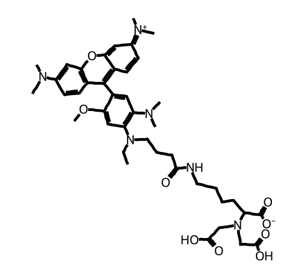 CCN(CCCC(=O)NCCCCC(C(=O)[O-])N(CC(=O)O)CC(=O)O)c1cc(OC)c(-c2c3ccc(=[N+](C)C)cc-3oc3cc(N(C)C)ccc23)cc1N(C)C